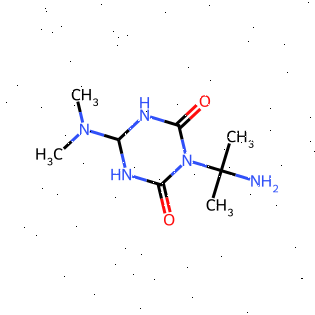 CN(C)C1NC(=O)N(C(C)(C)N)C(=O)N1